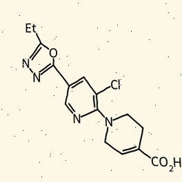 CCc1nnc(-c2cnc(N3CC=C(C(=O)O)CC3)c(Cl)c2)o1